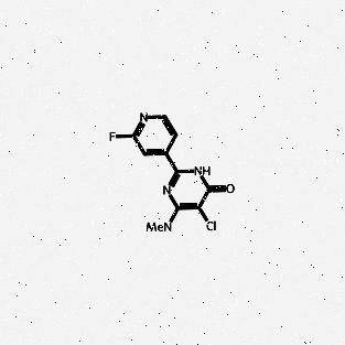 CNc1nc(-c2ccnc(F)c2)[nH]c(=O)c1Cl